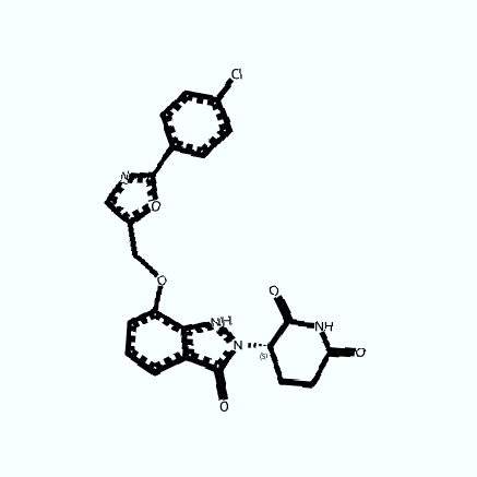 O=C1CC[C@H](n2[nH]c3c(OCc4cnc(-c5ccc(Cl)cc5)o4)cccc3c2=O)C(=O)N1